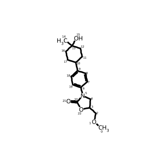 COCC1CN(c2ccc(C3CCC(C)(O)CC3)cc2)C(=O)O1